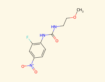 COCCNC(=O)Nc1ccc([N+](=O)[O-])cc1F